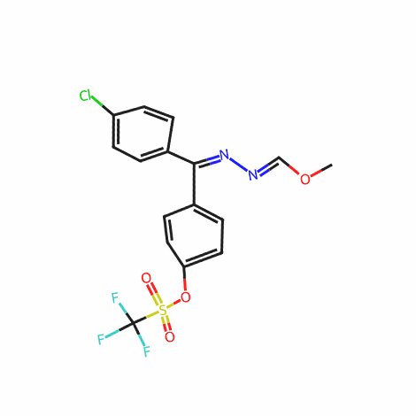 COC=NN=C(c1ccc(Cl)cc1)c1ccc(OS(=O)(=O)C(F)(F)F)cc1